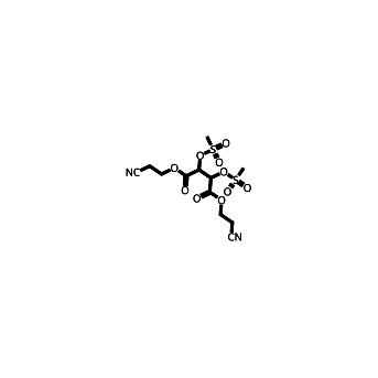 CS(=O)(=O)OC(C(=O)OCCC#N)C(OS(C)(=O)=O)C(=O)OCCC#N